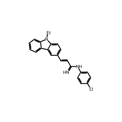 CCn1c2ccccc2c2cc(/C=C/C(=N)Nc3ccc(Cl)cc3)ccc21